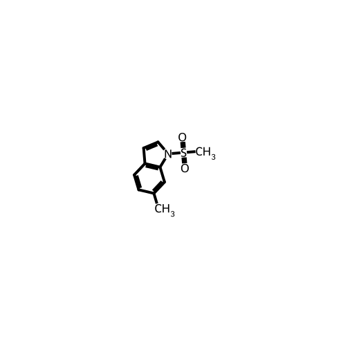 Cc1ccc2ccn(S(C)(=O)=O)c2c1